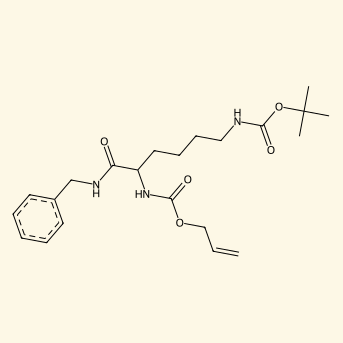 C=CCOC(=O)NC(CCCCNC(=O)OC(C)(C)C)C(=O)NCc1ccccc1